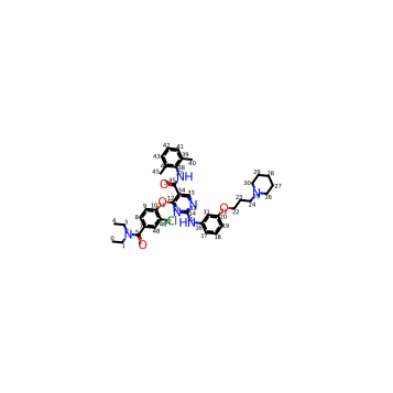 CCN(CC)C(=O)c1ccc(Oc2nc(Nc3cccc(OCCCN4CCCCC4)c3)ncc2C(=O)Nc2c(C)cccc2C)c(Cl)c1